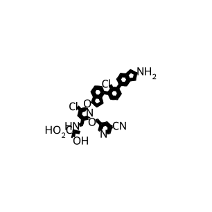 CC(CO)(NCc1cc(Cl)c(O[C@H]2CCc3c(-c4cccc(-c5ccc6c(c5)C[C@H](N)C6)c4Cl)cccc32)nc1OCc1cncc(C#N)c1)C(=O)O